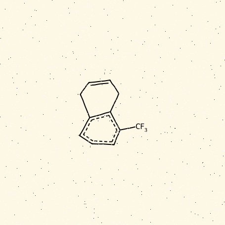 FC(F)(F)c1cccc2c1CC=C[CH]2